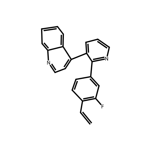 C=Cc1ccc(-c2ncccc2-c2ccnc3ccccc23)cc1F